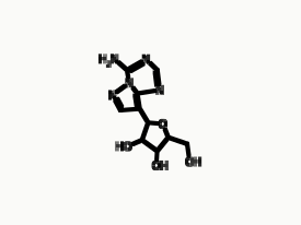 Nc1ncnc2c(C3OC(CO)C(O)C3O)cnn12